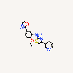 CCOc1ccc(-c2ncco2)cc1Nc1nc(C2C=NC=CC2)cs1